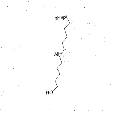 CCCCCCCCCCCCCCCCCCO.[AlH3]